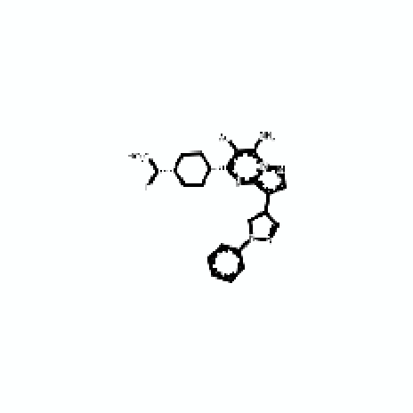 CC(=O)c1c(N)n2ncc(C3C=NN(c4ccccc4)C3)c2nc1[C@H]1CC[C@@H](C(F)C(=O)O)CC1